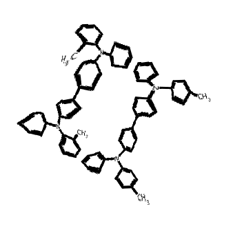 Cc1ccc(N(c2ccccc2)c2ccc(-c3ccc(N(c4ccccc4)c4ccc(C)cc4)cc3)cc2)cc1.Cc1ccccc1N(c1ccccc1)c1ccc(-c2ccc(N(c3ccccc3)c3ccccc3C)cc2)cc1